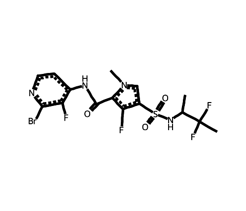 CC(NS(=O)(=O)c1cn(C)c(C(=O)Nc2ccnc(Br)c2F)c1F)C(C)(F)F